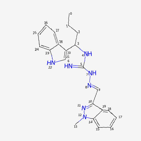 CCCC(NC(=N)N/N=C/c1nn(C)c2ccccc12)c1c[nH]c2ccccc12